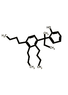 CCCCc1ccc(C(C)(CC)c2ccccc2O)c(CCCC)c1CCCC